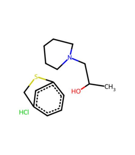 CC(O)CN1CCCCC1.Cl.c1cc2cc(c1)SC2